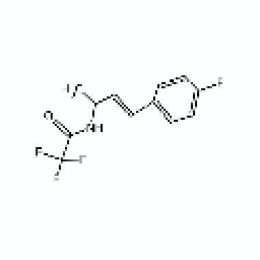 CC(C=Cc1ccc(F)cc1)NC(=O)C(F)(F)F